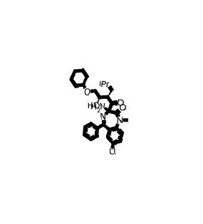 CC(C)C[C@@H](C(=O)C1(N)N=C(c2ccccc2)c2cc(Cl)ccc2N(C)C1=O)[C@H](O)COC1CCCCC1